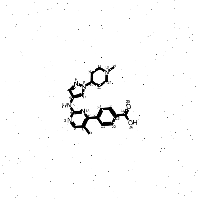 Cc1cnc(Nc2cnn(C3CCN(C)CC3)c2)nc1-c1ccc(C(=O)O)cc1